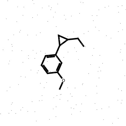 [CH2]CC1CC1c1cccc(OC)c1